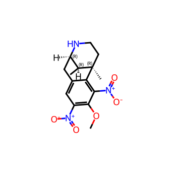 COc1c([N+](=O)[O-])cc2c(c1[N+](=O)[O-])[C@]1(C)CCN[C@H](C2)[C@@H]1C